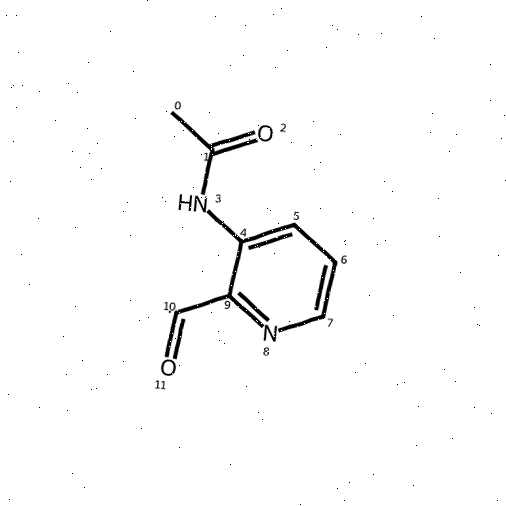 CC(=O)Nc1cccnc1[C]=O